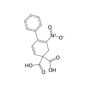 O=C(O)C1(C(=O)O)C=CC(c2ccccc2)=C([N+](=O)[O-])C1